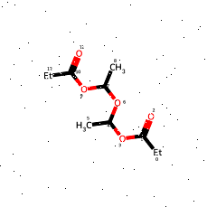 CCC(=O)OC(C)OC(C)OC(=O)CC